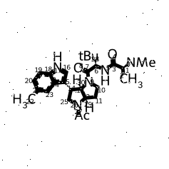 CN[C@@H](C)C(=O)N[C@H](C(=O)N1CC[C@@H]2[C@H]1[C@@H](c1c[nH]c3ccc(C)cc13)CN2C(C)=O)C(C)(C)C